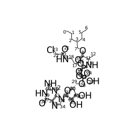 CCCC(CCC)COC(=O)C(C)NP(=O)(OCCNC(=O)CCl)OP(=O)(O)OC[C@H]1O[C@@H](n2cnc3c(=O)[nH]c(N)nc32)[C@H](O)[C@H]1O